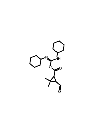 CC1(C)C(C=O)C1C(=O)OC(=NC1CCCCC1)NC1CCCCC1